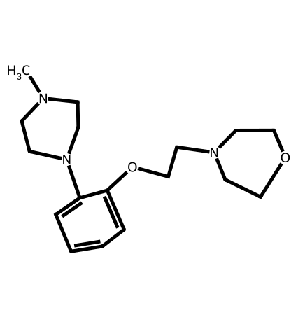 CN1CCN(c2ccccc2OCCN2CCOCC2)CC1